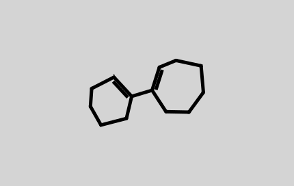 [C]1=C(C2=CCCCCC2)CCCC1